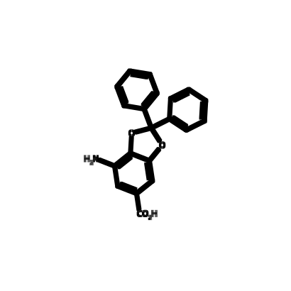 Nc1cc(C(=O)O)cc2c1OC(c1ccccc1)(c1ccccc1)O2